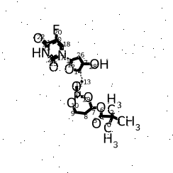 CC(C)(C)C(=O)OC1CCOP(OC[C@@H]2O[C@H](n3cc(F)c(=O)[nH]c3=O)CC2O)O1